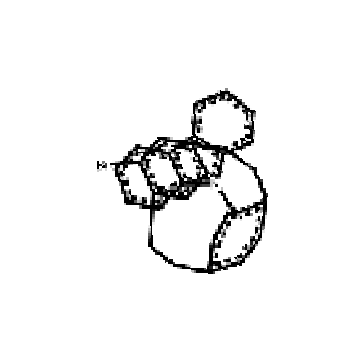 Brc1cc2ccc1CCc1ccc(c(-n3c4ccccc4c4ccccc43)c1)CC2